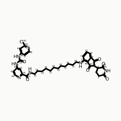 O=C1CCC(C2C(=O)c3cccc(NCCCCCCCCCCCCNC(=O)c4cc(NC(=O)Nc5ccnc(Cl)c5)ccn4)c3C2=O)C(=O)N1